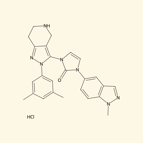 Cc1cc(C)cc(-n2nc3c(c2-n2ccn(-c4ccc5c(cnn5C)c4)c2=O)CNCC3)c1.Cl